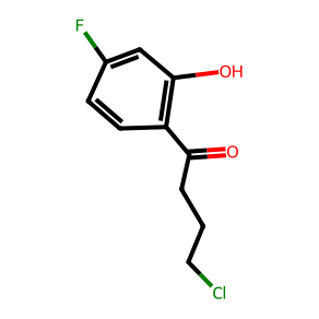 O=C(CCCCl)c1ccc(F)cc1O